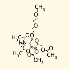 CCOCCOCCO[C@@H]1OC(COC(C)=O)[C@H](OC(C)=O)[C@H](OC(C)=O)C1NC(C)=O